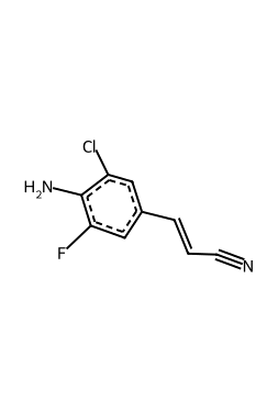 N#C/C=C/c1cc(F)c(N)c(Cl)c1